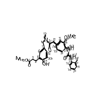 COC(=O)CCc1cc(CN(C)C(=O)Cc2ccc(NC(=O)Nc3ccccc3C)c(OC)c2)ccc1O